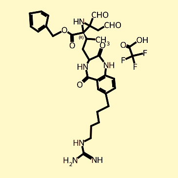 CC(CC1NC(=O)c2cc(CCCCCNC(=N)N)ccc2NC1=O)[C@@]1(C(=O)OCc2ccccc2)NC1(C=O)CC=O.O=C(O)C(F)(F)F